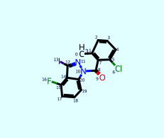 Cc1cccc(Cl)c1C(=O)n1nc(I)c2c(F)cccc21